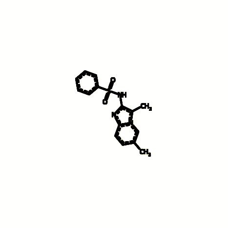 Cc1ccc2nc(NS(=O)(=O)c3ccccc3)c(C)n2c1